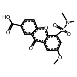 COc1cc(S(=O)(=O)N(C)C)c2oc3ccc(C(=O)O)cc3c(=O)c2c1